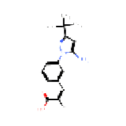 CC(=Cc1cccc(-n2nc(C(C)(C)C)cc2N)c1)C(=O)O